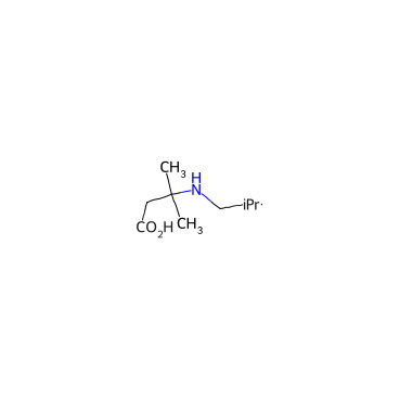 C[C](C)CNC(C)(C)CC(=O)O